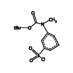 CN(C(=O)OC(C)(C)C)c1cccc(S(=O)(=O)Cl)c1